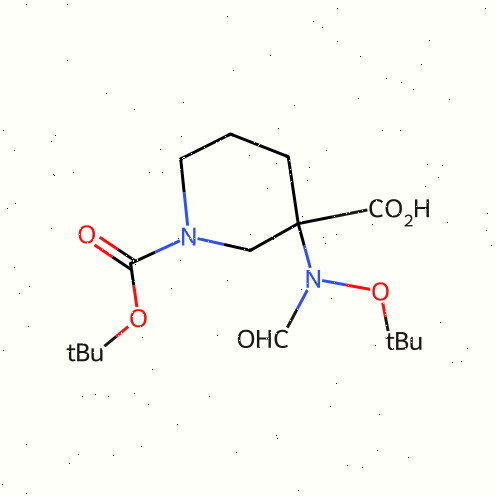 CC(C)(C)OC(=O)N1CCCC(C(=O)O)(N(C=O)OC(C)(C)C)C1